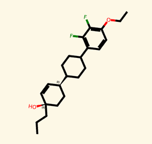 CCC[C@]1(O)C=C[C@@H](C2CCC(c3ccc(OCC)c(F)c3F)CC2)CC1